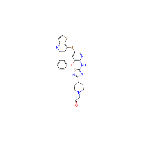 O=CCN1CCC(c2nsc(Nc3ncc(Sc4ccnc5ccsc45)cc3Oc3ccccc3)n2)CC1